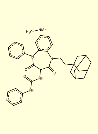 CNC.O=C(Nc1ccccc1)NC1C(=O)N(CCC23CC4CC(CC(C4)C2)C3)c2ccccc2N(c2ccccc2)C1=O